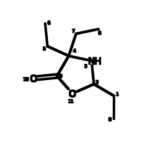 CCC1NC(CC)(CC)C(=O)O1